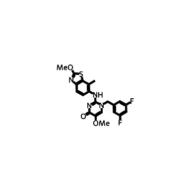 COc1nc2ccc(Nc3nc(=O)c(OC)cn3Cc3cc(F)cc(F)c3)c(C)c2s1